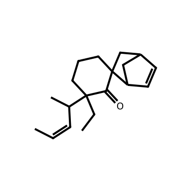 C/C=C\C(C)C1(CC)CCCC2(CC3C=CC2C3)C1=O